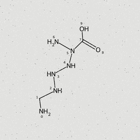 NCNNNN(N)C(=O)O